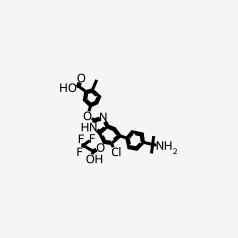 Cc1ccc(Oc2nc3cc(-c4ccc(C(C)(C)N)cc4)c(Cl)cc3[nH]2)cc1C(=O)O.O=C(O)C(F)(F)F